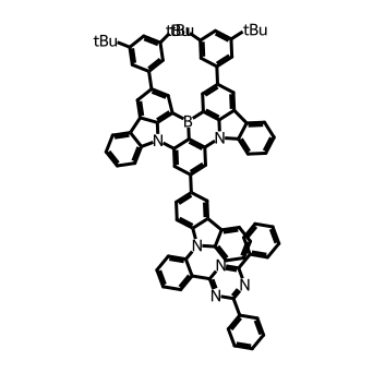 CC(C)(C)c1cc(-c2cc3c4c(c2)c2ccccc2n4-c2cc(-c4ccc5c(c4)c4ccccc4n5-c4ccccc4-c4nc(-c5ccccc5)nc(-c5ccccc5)n4)cc4c2B3c2cc(-c3cc(C(C)(C)C)cc(C(C)(C)C)c3)cc3c5ccccc5n-4c23)cc(C(C)(C)C)c1